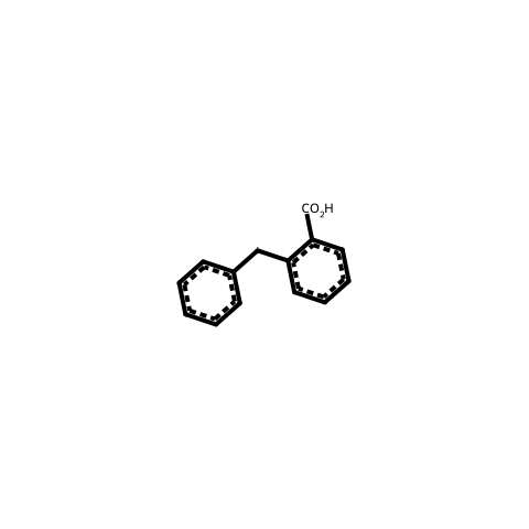 O=C(O)c1ccccc1[CH]c1ccccc1